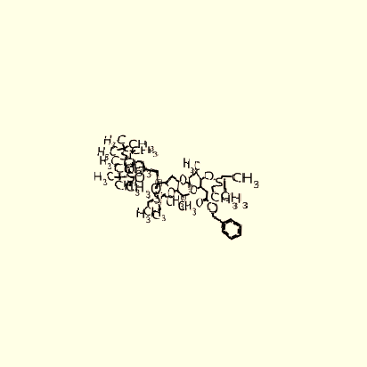 CC[Si](CC)(CC)OC1C(CC(=O)OCc2ccccc2)O[C@]2(C[C@H](C)C3OC([C@H](CC(CO[Si](C)(C)C(C)(C)C)O[Si](C)(C)C(C)(C)C)O[Si](CC)(CC)CC)CC3O2)C[C@@H]1C